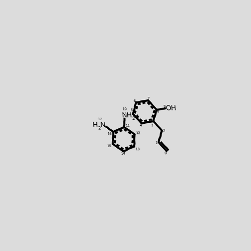 C=CCc1ccccc1O.Nc1ccccc1N